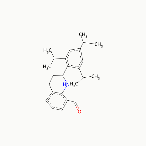 CC(C)c1cc(C(C)C)c(C2CCc3cccc(C=O)c3N2)c(C(C)C)c1